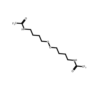 O=C(NCCCCOOCCCCNC(=O)C(F)(F)F)C(F)(F)F